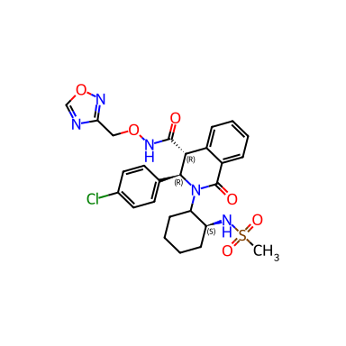 CS(=O)(=O)N[C@H]1CCCCC1N1C(=O)c2ccccc2[C@@H](C(=O)NOCc2ncon2)[C@@H]1c1ccc(Cl)cc1